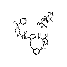 O=C(Nc1ccc2cc1CCc1cccc(c1)Nc1ncc(Cl)c(n1)N2)N[C@H]1CCN(C(=O)c2ccncc2)C1.O=C(O)C(F)(F)F.O=C(O)C(F)(F)F